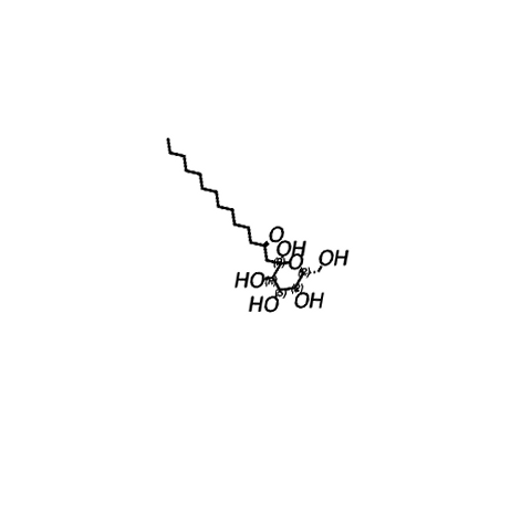 CCCCCCCCCCCCC(=O)C[C@@]1(O)O[C@H](CO)[C@H](O)[C@H](O)[C@H]1O